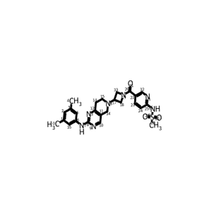 Cc1cc(C)cc(Nc2ncc3c(n2)CCN(C2CN(C(=O)c4ccc(NS(C)(=O)=O)nc4)C2)C3)c1